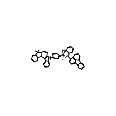 C=C(/N=C1/C=CC=C/C1=C(/N)c1ccc2c3c(cccc13)-c1ccccc1-2)c1ccc(-n2c3c(c4ccccc42)C2c4ccccc4C(C)(C)C2C=C3)cc1